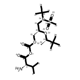 CC(C)[C@H](N)C(=O)OC(=O)OC[C@H](CN(C(C)(C)C)S(C)(=O)=O)O[C@@H](C)C(C)(C)C